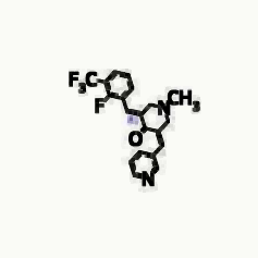 CN1CC(=Cc2cccnc2)C(=O)/C(=C/c2cccc(C(F)(F)F)c2F)C1